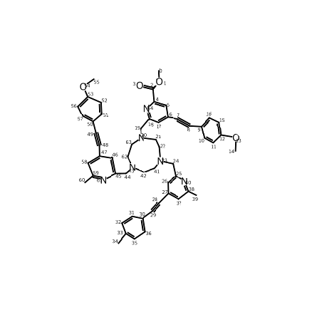 COC(=O)c1cc(C#Cc2ccc(OC)cc2)cc(CN2CCN(Cc3cc(C#Cc4ccc(C)cc4)cc(C)n3)CCN(Cc3cc(C#Cc4ccc(OC)cc4)cc(C)n3)CC2)n1